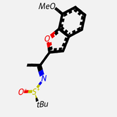 COc1cccc2cc(/C(C)=N/[S@+]([O-])C(C)(C)C)oc12